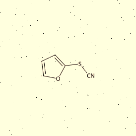 N#CSc1cc[c]o1